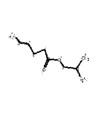 [CH2]C(C)[CH]OC(=O)CCCCC